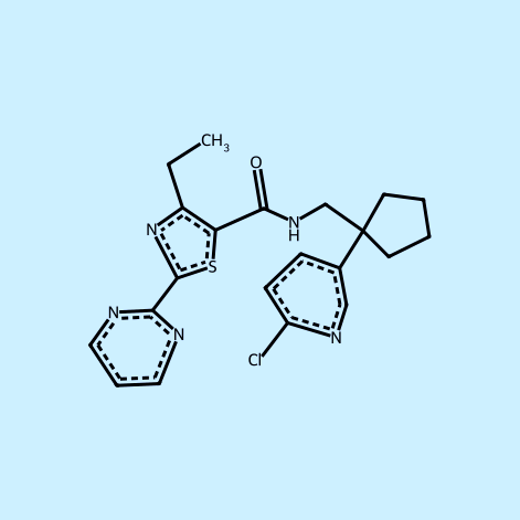 CCc1nc(-c2ncccn2)sc1C(=O)NCC1(c2ccc(Cl)nc2)CCCC1